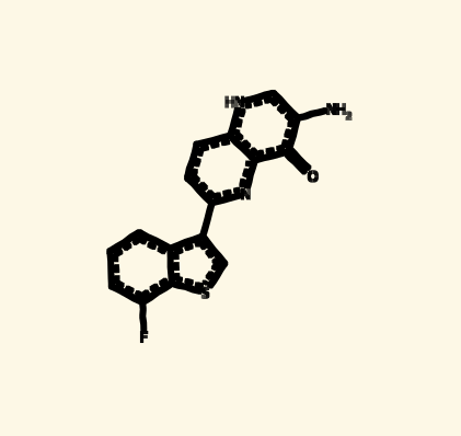 Nc1c[nH]c2ccc(-c3csc4c(F)cccc34)nc2c1=O